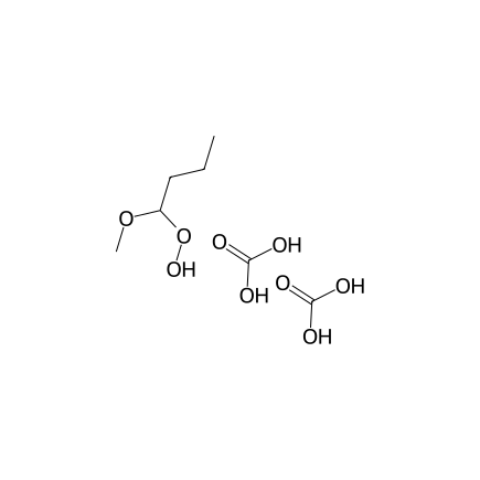 CCCC(OC)OO.O=C(O)O.O=C(O)O